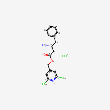 Cl.N[C@@H](CC(=O)OCc1cc(Cl)nc(Cl)c1)Cc1ccccc1